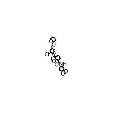 O=C(Nc1ccc2c(c1)OCO2)c1cccc2c1OCCN2c1ncc(COC2CCCCO2)cc1Cl